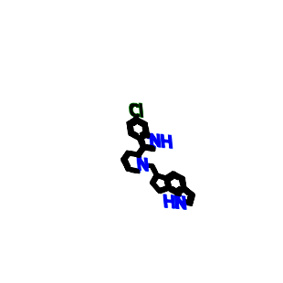 Clc1ccc2c(C3CC=CCN3CC3CCc4c3ccc3cc[nH]c43)c[nH]c2c1